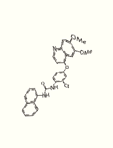 COc1cc2nccc(Oc3ccc(NC(=O)Nc4cccc5ccccc45)c(Cl)c3)c2cc1OC